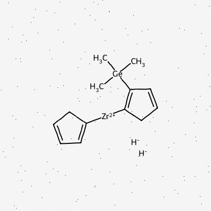 [CH3][Ge]([CH3])([CH3])[C]1=[C]([Zr+2][C]2=CC=CC2)CC=C1.[H-].[H-]